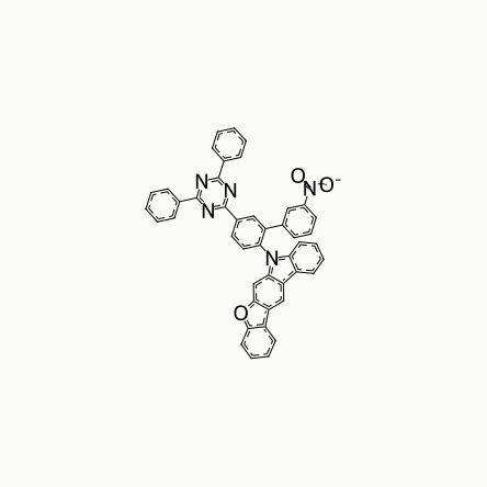 O=[N+]([O-])c1cccc(-c2cc(-c3nc(-c4ccccc4)nc(-c4ccccc4)n3)ccc2-n2c3ccccc3c3cc4c(cc32)oc2ccccc24)c1